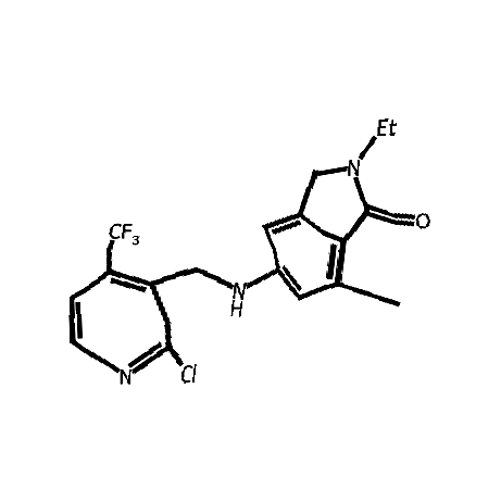 CCN1Cc2cc(NCc3c(C(F)(F)F)ccnc3Cl)cc(C)c2C1=O